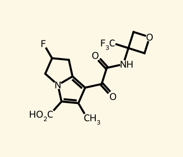 Cc1c(C(=O)C(=O)NC2(C(F)(F)F)COC2)c2n(c1C(=O)O)CC(F)C2